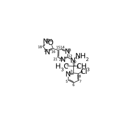 CC(C)(c1ncccc1Cl)N(N)c1ncc(-c2ncno2)cn1